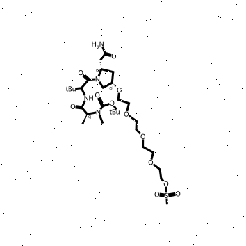 C[C@@H](C(=O)NC(C(=O)N1C[C@@H](OCCOCCOCCOCCOS(C)(=O)=O)C[C@H]1CC(N)=O)C(C)(C)C)N(C)C(=O)OC(C)(C)C